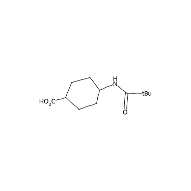 CC(C)(C)C(=O)NC1CCC(C(=O)O)CC1